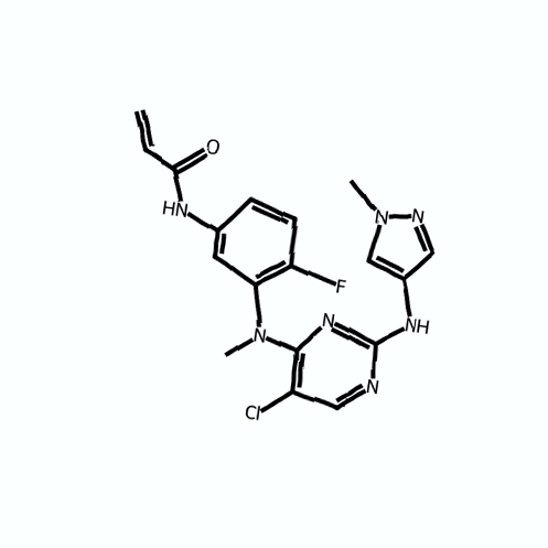 C=CC(=O)Nc1ccc(F)c(N(C)c2nc(Nc3cnn(C)c3)ncc2Cl)c1